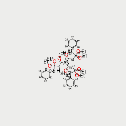 CCOC(CC(OCC)(OCC)[SiH2]c1ccccc1)[As](C(CC(OCC)(OCC)[SiH2]c1ccccc1)OCC)C(CC(OCC)(OCC)[SiH2]c1ccccc1)OCC